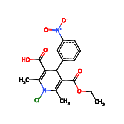 CCOC(=O)C1=C(C)N(Cl)C(C)=C(C(=O)O)C1c1cccc([N+](=O)[O-])c1